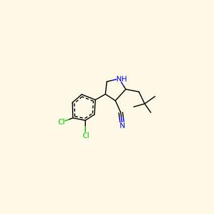 CC(C)(C)CC1NCC(c2ccc(Cl)c(Cl)c2)C1C#N